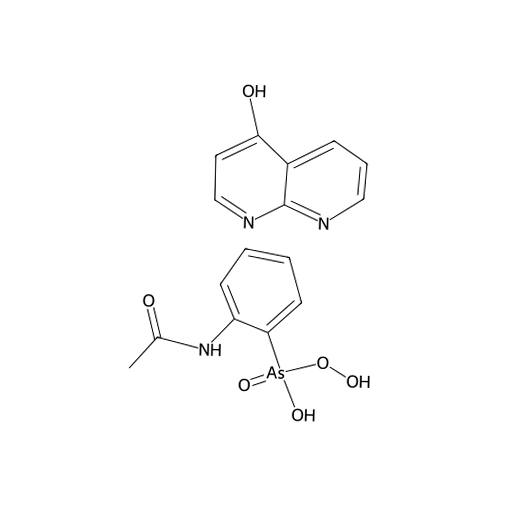 CC(=O)Nc1ccccc1[As](=O)(O)OO.Oc1ccnc2ncccc12